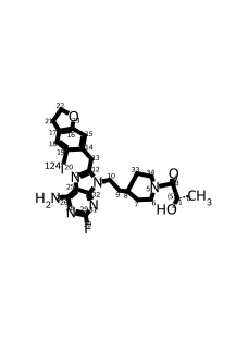 C[C@H](O)C(=O)N1CCC(CCn2c(Cc3cc4c(cc3[124I])CCO4)nc3c(N)nc(F)nc32)CC1